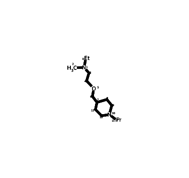 CCN(C)CCOCC1CCN(C(C)C)CC1